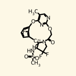 Cc1cnc2nc1Oc1cccc(c1F)C[C@H]1[C@@H](NS(C)(=O)=O)C(F)(F)CN1C(=O)CO2